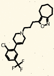 FC(F)(F)c1ccc(Cl)c(C2=CCN(CCCc3onc4c3CCCCC4)CC2)c1